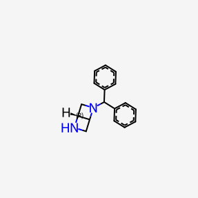 c1ccc(C(c2ccccc2)N2C[C@H]3NCC32)cc1